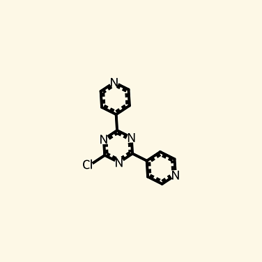 Clc1nc(-c2ccncc2)nc(-c2ccncc2)n1